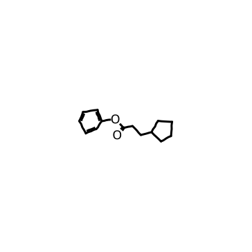 O=C(CCC1CCCC1)Oc1ccccc1